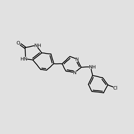 O=c1[nH]c2ccc(-c3cnc(Nc4cccc(Cl)c4)nc3)cc2[nH]1